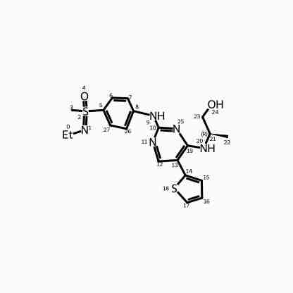 CCN=S(C)(=O)c1ccc(Nc2ncc(-c3cccs3)c(N[C@H](C)CO)n2)cc1